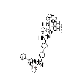 COC(=O)NC(C(=O)N1CCC[C@H]1c1ncc(-c2ccc(-c3ccc(-c4cnc([C@H]5C6CCC(C6)[C@@H]5c5nc(-c6cccnc6)c[nH]5)[nH]4)cc3)cc2)[nH]1)C(C)C